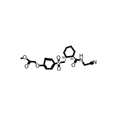 COC(=O)COc1ccc(S(=O)(=O)C[C@@H]2CCCC[C@H]2C(=O)NCC#N)cc1